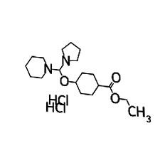 CCOC(=O)C1CCC(OC(N2CCCCC2)N2CCCC2)CC1.Cl.Cl